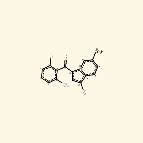 Cc1cccc(Cl)c1C(=O)c1cc(Br)c2ccc(C(=O)O)cn12